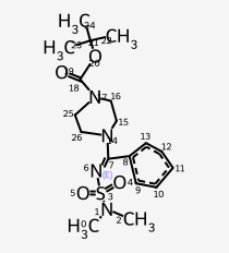 CN(C)S(=O)(=O)/N=C(\c1ccccc1)N1CCN(C(=O)OC(C)(C)C)CC1